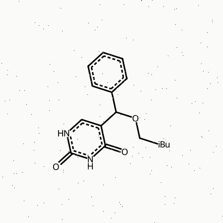 CCC(C)COC(c1ccccc1)c1c[nH]c(=O)[nH]c1=O